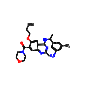 COCCOc1cc2c(NC(C)c3cc(N)cc(C(F)(F)F)c3)nc(C)nc2cc1C(=O)N1CCOCC1